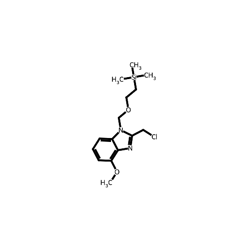 COc1cccc2c1nc(CCl)n2COCC[Si](C)(C)C